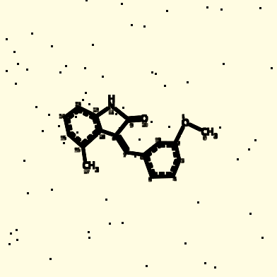 COc1cccc(C=C2C(=O)Nc3cccc(C)c32)c1